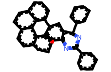 c1ccc(-c2nc(-c3ccccc3)c3cc(-c4cccc5ccc6ccc7ccccc7c6c45)ccc3n2)cc1